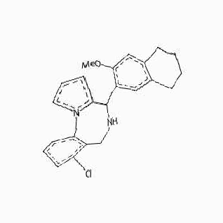 COc1cc2c(cc1C1NCc3c(Cl)cccc3-n3cccc31)CCCC2